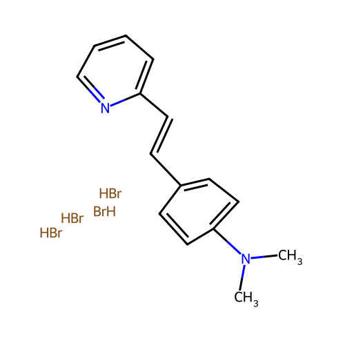 Br.Br.Br.Br.CN(C)c1ccc(/C=C/c2ccccn2)cc1